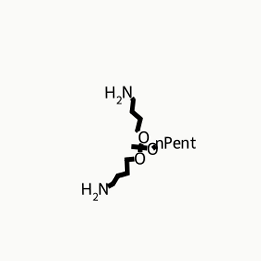 CCCCCOC(C)(OCCCCN)OCCCCN